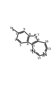 Ic1ccc2c3c(sc2c1)C=C=NC=N3